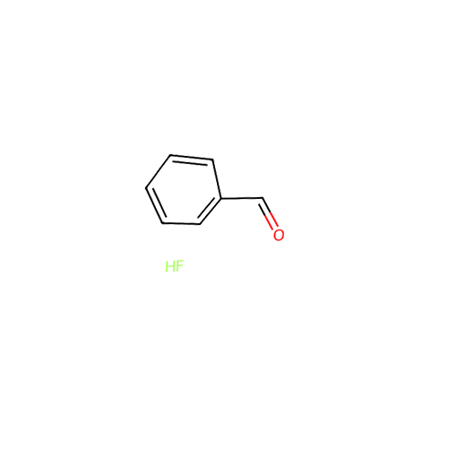 F.O=Cc1ccccc1